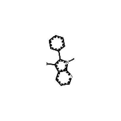 Cn1c(-c2ccccc2)c(I)c2cccnc21